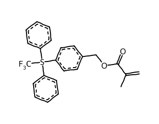 C=C(C)C(=O)OCc1ccc(S(c2ccccc2)(c2ccccc2)C(F)(F)F)cc1